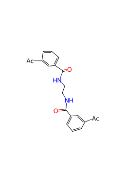 CC(=O)c1cccc(C(=O)NCCNC(=O)c2cccc(C(C)=O)c2)c1